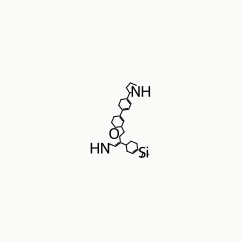 C[Si](C)(C)C1=CCC(/C(=C/C=N)C2CC3C=C(C4=CC=C(C5CCCN5)CC4)CCC3O2)CC1